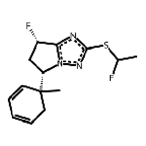 CC(F)Sc1nc2n(n1)[C@H](C1(C)C=CC=CC1)C[C@@H]2F